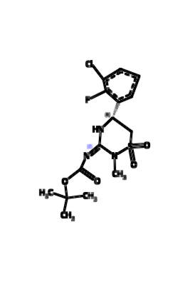 CN1/C(=N\C(=O)OC(C)(C)C)N[C@H](c2cccc(Cl)c2F)CS1(=O)=O